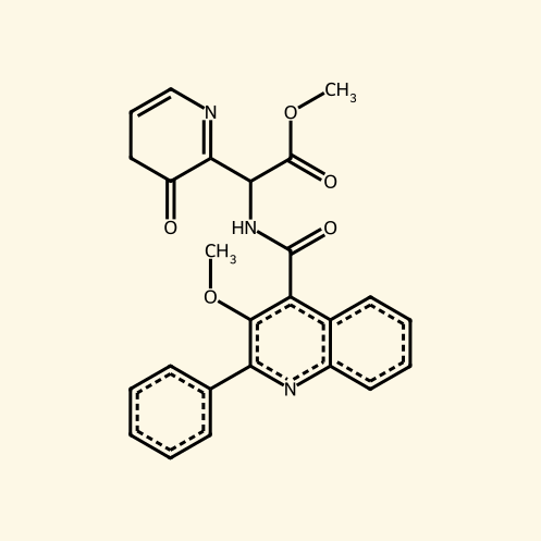 COC(=O)C(NC(=O)c1c(OC)c(-c2ccccc2)nc2ccccc12)C1=NC=CCC1=O